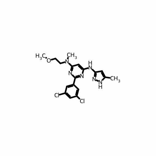 COCCN(C)c1cc(Nc2cc(C)[nH]n2)nc(-c2cc(Cl)cc(Cl)c2)n1